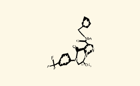 C[C@H]1CN(c2ccc(C(F)(F)F)cc2)C(=O)c2c(C(=O)NCc3ccccc3)cnn21